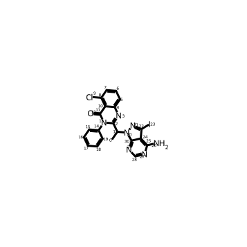 CC(c1nc2cccc(Cl)c2c(=O)n1-c1ccccc1)n1nc(I)c2c(N)ncnc21